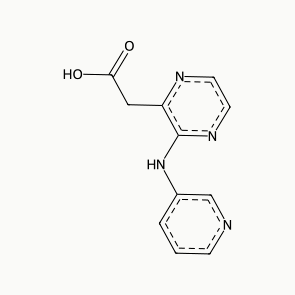 O=C(O)Cc1nccnc1Nc1cccnc1